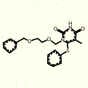 Cc1c(Sc2ccccc2)n(COCCOCc2ccccc2)c(=O)[nH]c1=O